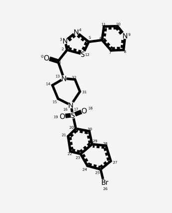 O=C(c1nnc(-c2ccncc2)s1)N1CCN(S(=O)(=O)c2ccc3cc(Br)ccc3c2)CC1